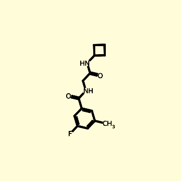 Cc1cc(F)cc(C(=O)NCC(=O)NC2CCC2)c1